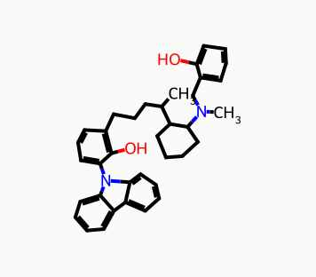 CC(CCCc1cccc(-n2c3ccccc3c3ccccc32)c1O)C1CCCCC1N(C)Cc1ccccc1O